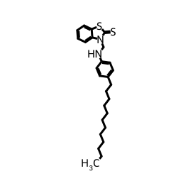 CCCCCCCCCCCCc1ccc(NCn2c(=S)sc3ccccc32)cc1